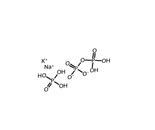 O=P(O)(O)O.O=P([O-])([O-])OP(=O)(O)O.[K+].[Na+]